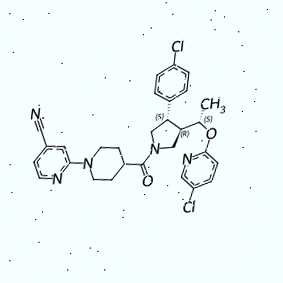 C[C@H](Oc1ccc(Cl)cn1)[C@H]1CN(C(=O)C2CCN(c3cc(C#N)ccn3)CC2)C[C@@H]1c1ccc(Cl)cc1